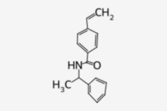 C=Cc1ccc(C(=O)NC(C)c2ccccc2)cc1